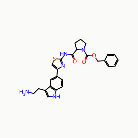 NCCc1c[nH]c2ccc(-c3csc(NC(=O)C4CCCN4C(=O)OCc4ccccc4)n3)cc12